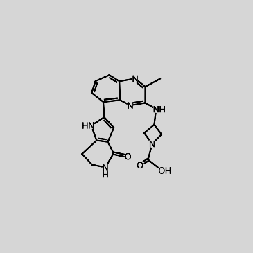 Cc1nc2cccc(-c3cc4c([nH]3)CCNC4=O)c2nc1NC1CN(C(=O)O)C1